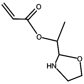 C=CC(=O)OC(C)C1NCCO1